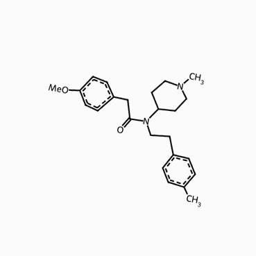 COc1ccc(CC(=O)N(CCc2ccc(C)cc2)C2CCN(C)CC2)cc1